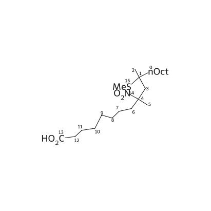 CCCCCCCCC(C)(CC(C)(CCCCCCCC(=O)O)[N+](=O)[O-])SC